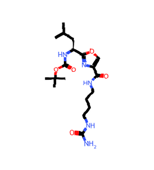 CC(C)C[C@H](NC(=O)OC(C)(C)C)c1nc(C(=O)NCCCCNC(N)=O)co1